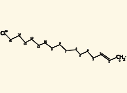 [CH2]/C=C/CCCCCCCCCCCCCCl